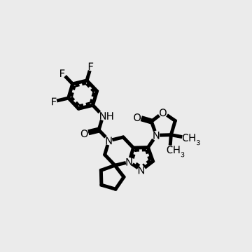 CC1(C)COC(=O)N1c1cnn2c1CN(C(=O)Nc1cc(F)c(F)c(F)c1)CC21CCCC1